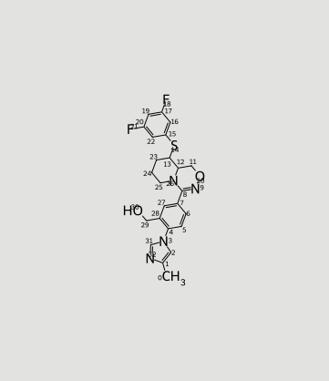 Cc1cn(-c2ccc(C3=NOCC4C(Sc5cc(F)cc(F)c5)CCCN34)cc2CO)cn1